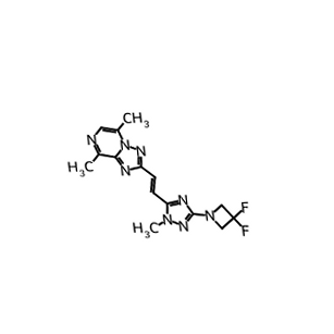 Cc1ncc(C)n2nc(C=Cc3nc(N4CC(F)(F)C4)nn3C)nc12